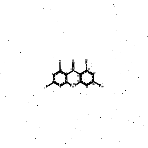 O=[PH](c1c(F)cc(F)cc1F)c1c(F)cc(F)cc1F